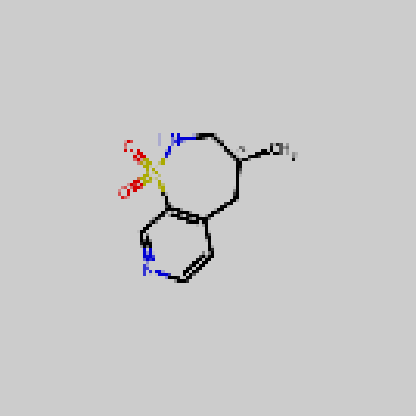 C[C@@H]1CNS(=O)(=O)c2cnccc2C1